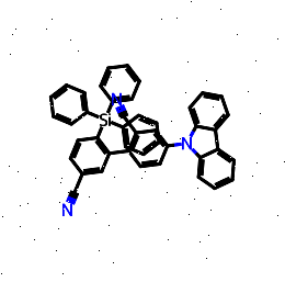 N#Cc1ccc([Si](c2ccccc2)(c2ccccc2)c2ccccc2)c(-c2ccc(-n3c4ccccc4c4ccccc43)cc2C#N)c1